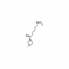 C[C@H]1CCN(C(=O)CCCCCN)C1